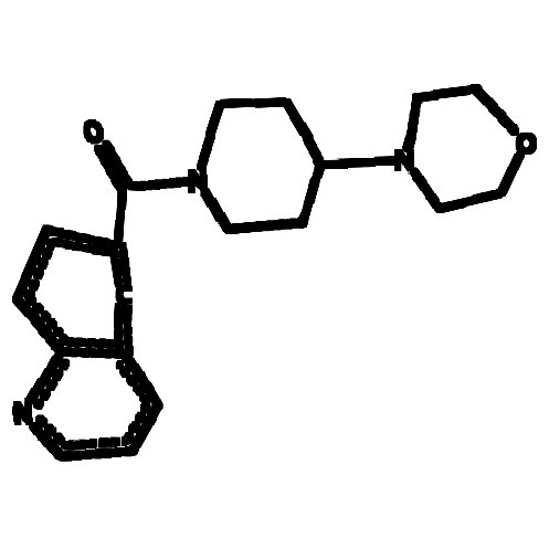 O=C(c1ccc2ncccc2c1)N1CCC(N2CCOCC2)CC1